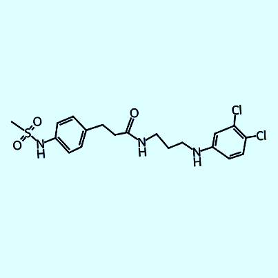 CS(=O)(=O)Nc1ccc(CCC(=O)NCCCNc2ccc(Cl)c(Cl)c2)cc1